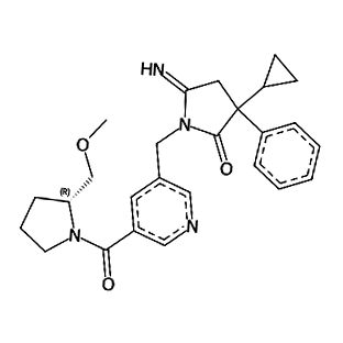 COC[C@H]1CCCN1C(=O)c1cncc(CN2C(=N)CC(c3ccccc3)(C3CC3)C2=O)c1